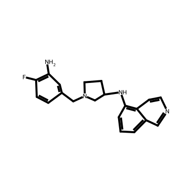 Nc1cc(CN2CCC(Nc3cccc4cnccc34)C2)ccc1F